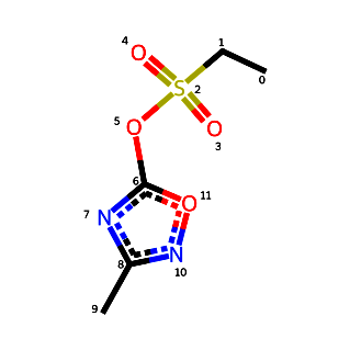 CCS(=O)(=O)Oc1nc(C)no1